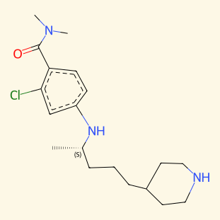 C[C@@H](CCCC1CCNCC1)Nc1ccc(C(=O)N(C)C)c(Cl)c1